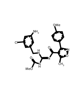 COC(=O)N/C(=N/C(=O)c1c(-c2ccc(OC)cc2)noc1C)NCc1cc(N)cc(Cl)c1